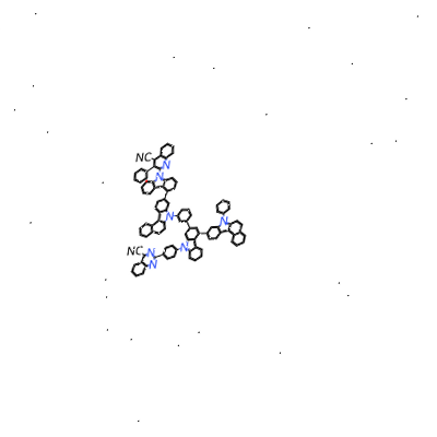 N#Cc1nc(-c2ccc(-n3c4ccccc4c4c(-c5ccc6c7c8ccccc8ccc7n(-c7ccccc7)c6c5)cc(-c5cccc(-n6c7cc(-c8cccc9c8c8ccccc8n9-c8nc9ccccc9c(C#N)c8-c8ccccc8)ccc7c7c8ccccc8ccc76)c5)cc43)cc2)nc2ccccc12